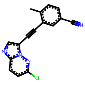 Cc1ccc(C#N)cc1C#Cc1cnc2ccc(Cl)nn12